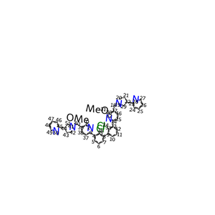 COc1nc(-c2cccc(-c3cccc(-c4ccc(CN5CCC(c6ccccn6)C5)c(OC)n4)c3Cl)c2Cl)ccc1CN1CCC(c2ccccn2)C1